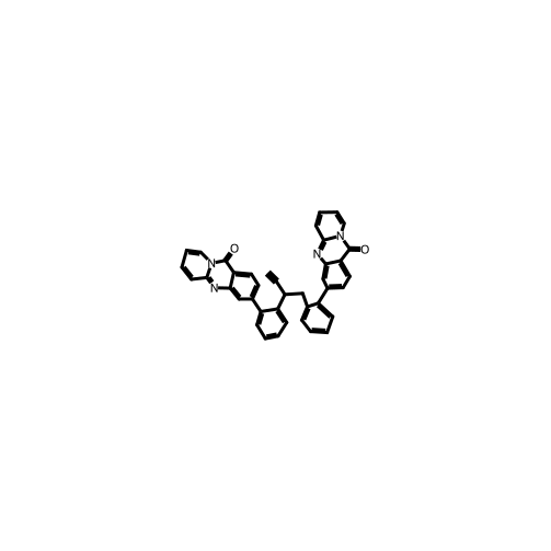 C#CC(Cc1ccccc1-c1ccc2c(=O)n3ccccc3nc2c1)c1ccccc1-c1ccc2c(=O)n3ccccc3nc2c1